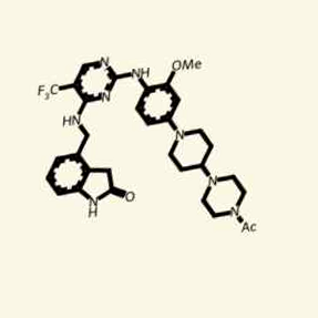 COc1cc(N2CCC(N3CCN(C(C)=O)CC3)CC2)ccc1Nc1ncc(C(F)(F)F)c(NCc2cccc3c2CC(=O)N3)n1